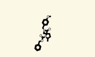 COc1ccc(CN2CC3(CCC(C)N3C(=O)OCc3ccccc3)C2=O)cc1